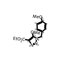 CCOC(=O)c1nnn(Cc2ccc(OC)cc2)c1OC